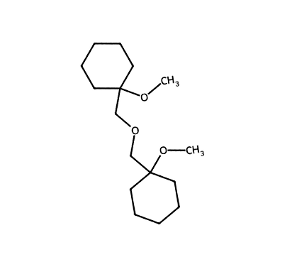 COC1(COCC2(OC)CCCCC2)CCCCC1